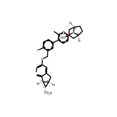 C=C1/C(=C\C(=C/C)OCc2cc(-c3ccc(N4[C@@H]5CC[C@H]4CC(O)C5)nc3C)ccc2F)C[C@@H]2[C@H]1[C@H]2C(=O)O